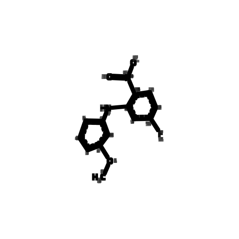 COc1cccc(Nc2cc(F)ccc2[N+](=O)[O-])c1